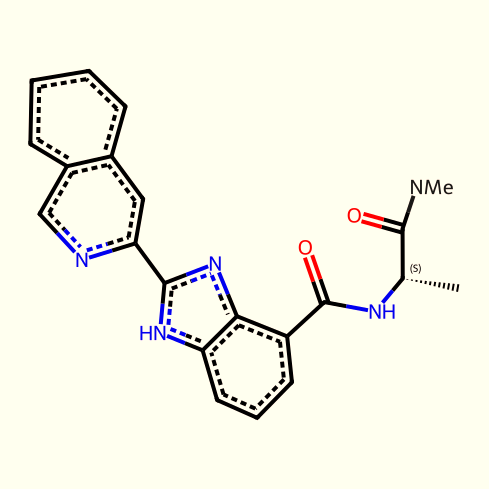 CNC(=O)[C@H](C)NC(=O)c1cccc2[nH]c(-c3cc4ccccc4cn3)nc12